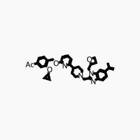 C=C(C)c1ccc2nc(CN3CCC(c4cccc(OCc5ccc(C(C)=O)cc5OC5CC5)n4)CC3)n(CC3CCO3)c2c1